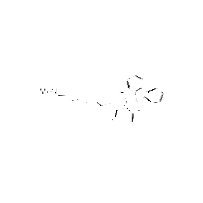 CNCCCCC/C=C/CC(=O)N1C(=S)OC(c2ccccc2)(c2ccccc2)[C@@H]1C(C)C